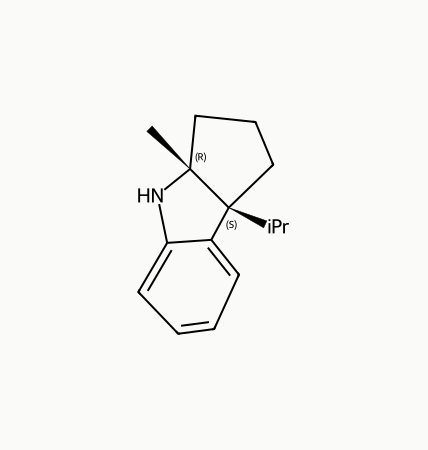 CC(C)[C@]12CCC[C@@]1(C)Nc1ccccc12